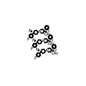 C[C@@H]1CN([C@H]2CC[C@](C#N)(c3ccc(F)cc3)CC2)CC[C@]1(C(=O)O)c1ccccc1.C[C@@H]1CN([C@H]2CC[C@](C#N)(c3ccc(F)cc3)CC2)CC[C@]1(C(=O)O)c1ccccc1.C[C@@H]1CN([C@H]2CC[C@](C#N)(c3ccc(F)cc3)CC2)CC[C@]1(C(=O)O)c1ccccc1